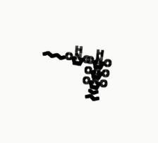 CCC.CCCC.CCCCCC.O=C1C=CC(=O)N1.O=C1C=CC(=O)N1.O=C1C=CC(=O)N1.O=C1C=CC(=O)N1